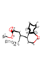 CCOC(=O)C(CC(=O)OC(C)(C)C)C1CCOc2ccccc21